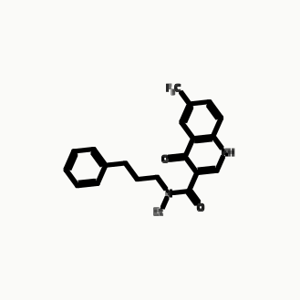 CCN(CCCc1ccccc1)C(=O)c1c[nH]c2ccc(C(F)(F)F)cc2c1=O